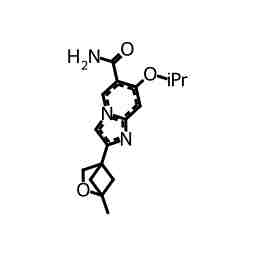 CC(C)Oc1cc2nc(C34COC(C)(C3)C4)cn2cc1C(N)=O